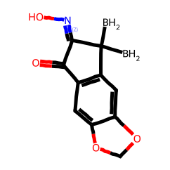 BC1(B)/C(=N/O)C(=O)c2cc3c(cc21)OCO3